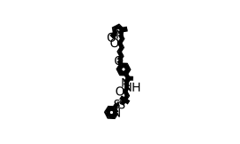 C=C1CCC(=O)N1CC(=O)CCCOc1ccc(/C(C)=N/NC(=O)CC(C)(C)SSc2ccccn2)cc1